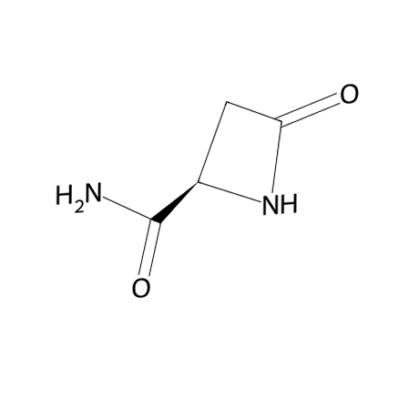 NC(=O)[C@H]1CC(=O)N1